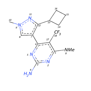 CNc1nc(N)nc(-c2cn(C)nc2C2CCC2)c1C(F)(F)F